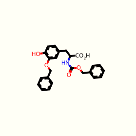 O=C(NC(Cc1ccc(O)c(OCc2ccccc2)c1)C(=O)O)OCc1ccccc1